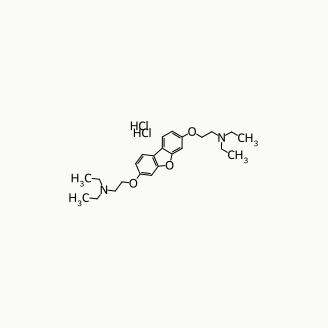 CCN(CC)CCOc1ccc2c(c1)oc1cc(OCCN(CC)CC)ccc12.Cl.Cl